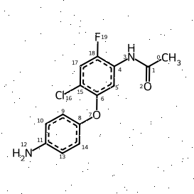 CC(=O)Nc1cc(Oc2ccc(N)cc2)c(Cl)cc1F